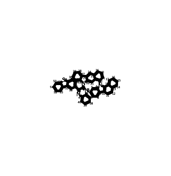 c1cc(-n2c3ccccc3c3ccc4ccccc4c32)c2cc3c(cc2c1)c1ccccc1n3-c1nc2ccccc2nc1-c1ccc2sc3ccccc3c2c1